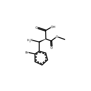 COC(=O)[C@H](C(=O)O)C(N)c1ccccc1Br